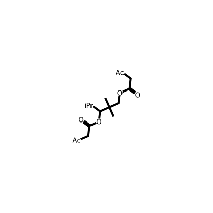 CC(=O)CC(=O)OCC(C)(C)C(OC(=O)CC(C)=O)C(C)C